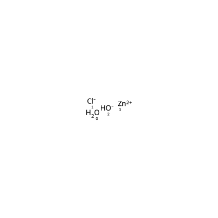 O.[Cl-].[OH-].[Zn+2]